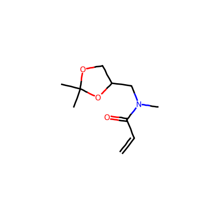 C=CC(=O)N(C)CC1COC(C)(C)O1